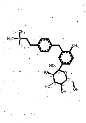 Cc1ccc([C@@]2(O)O[C@H](CO)[C@@H](O)[C@H](O)[C@H]2O)cc1Cc1ccc(CC[Si](C)(C)C)cc1